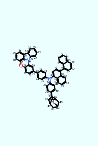 c1ccc2c(-c3ccc(N(c4ccc(-c5ccc6c(c5)-n5c7ccccc7c7cccc(c75)O6)cc4)c4ccc(C56CC7CC(CC5C7)C6)cc4)c4ccccc34)cccc2c1